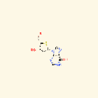 O=c1[nH]cnc2c1ncn2[C@@H]1C[C@H](O)[C@H](CO)S1